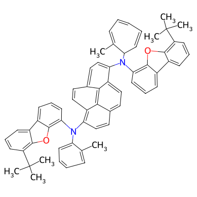 CC1=CC=CC=CC1N(c1ccc2ccc3c(N(c4ccccc4C)c4cccc5c4oc4c(C(C)(C)C)cccc45)ccc4ccc1c2c43)c1cccc2c1oc1c(C(C)(C)C)cccc12